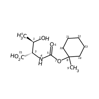 C[C@@H](O)[C@H](NC(=O)OC1(C)CCCCC1)C(=O)O